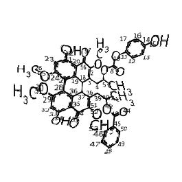 COC1=C(CC(C)OC(=O)Oc2ccc(O)cc2)C2c3c(c(O)cc(OC)c3-c3c(OC)cc(O)c4c3C2C(CC(C)OC(=O)c2ccccc2)=C(OC)C4=O)C1=O